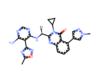 CC[C@H](Nc1ncnc(N)c1-c1noc(C)n1)c1nc2cccc(-c3cnn(C)c3)c2c(=O)n1C1CC1